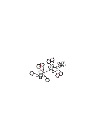 CC[C@@H](OCc1ccccc1)[C@@H](OCc1ccccc1)[C@H](OCc1ccccc1)[C@@H](COC[C@@H](OCc1ccccc1)[C@@H](OCc1ccccc1)[C@H](OCc1ccccc1)[C@@H](COS(=O)(=O)C(F)(F)F)OCc1ccccc1)OCc1ccccc1